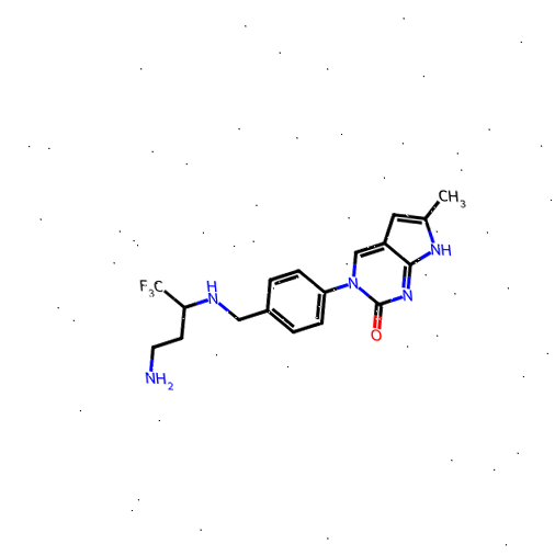 Cc1cc2cn(-c3ccc(CNC(CCN)C(F)(F)F)cc3)c(=O)nc2[nH]1